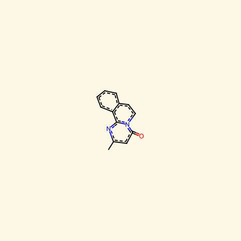 Cc1cc(=O)n2ccc3ccccc3c2n1